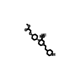 COC(=O)CO[C@H]1CC[C@H](N2CCN(CCC3CCNCC3)CC2=O)CC1.Cl.Cl